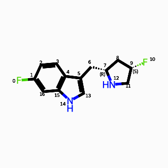 Fc1ccc2c(C[C@@H]3C[C@H](F)CN3)c[nH]c2c1